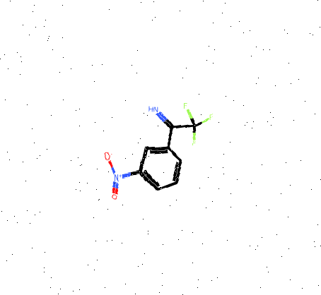 N=C(c1cccc([N+](=O)[O-])c1)C(F)(F)F